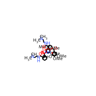 COc1cc(C(=O)C2CC3CCC2C(C(=O)NC(=O)C2C4CCC(CC4C(=O)c4cc(OC)c(OC)c(OC)c4)C2C(=O)NCCN(C)C)C3C(=O)NCCN(C)C)cc(OC)c1OC